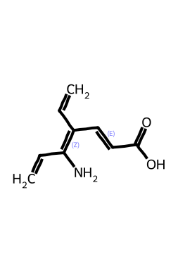 C=C/C(N)=C(C=C)/C=C/C(=O)O